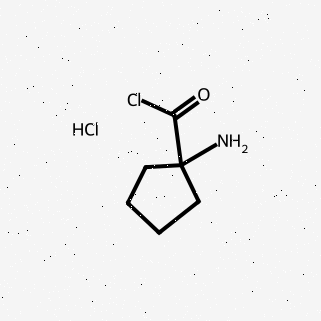 Cl.NC1(C(=O)Cl)CCCC1